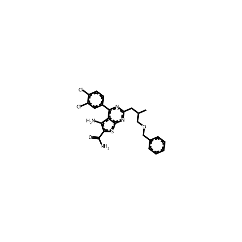 CC(COCc1ccccc1)Cc1nc(-c2ccc(Cl)c(Cl)c2)c2c(N)c(C(N)=O)sc2n1